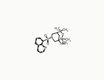 CCCCC12CC(CN(S(=O)(=O)c3cccc4cccnc34)C1)[Si](C)(C)O[Si]2(C)C